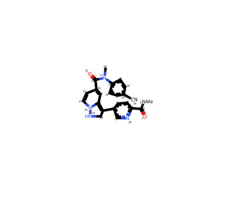 CNC(=O)c1ccc(C2=C3C=C(C(=O)N(C)c4ccc(C#N)cc4)C=CN3NC2)cn1